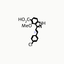 COc1c(C(=O)O)ccc2[nH]nc(/C=C/c3ccc(Cl)cc3)c12